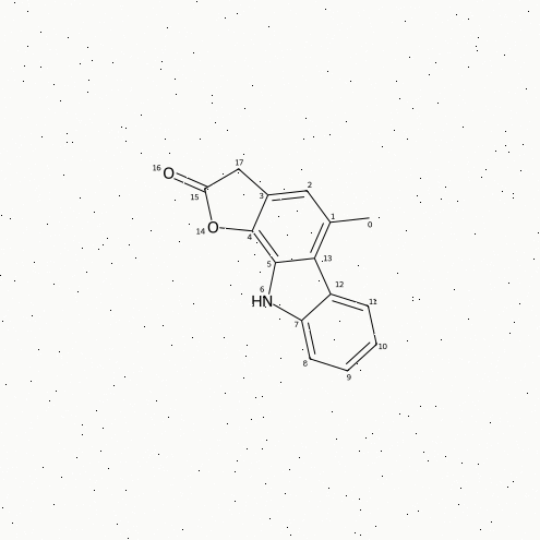 Cc1cc2c(c3[nH]c4ccccc4c13)OC(=O)C2